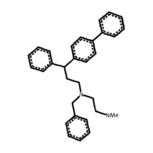 CNCCN(CCC(c1ccccc1)c1ccc(-c2ccccc2)cc1)Cc1ccccc1